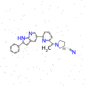 C=C(c1cccc(-c2cnc3[nH]c(-c4ccccc4)cc3c2)n1)N1CC[C@H](C#N)C1